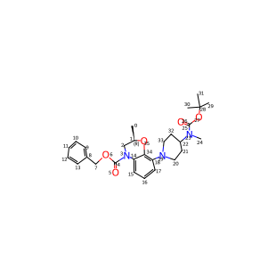 C[C@@H]1CN(C(=O)OCc2ccccc2)c2cccc(N3CCC(N(C)C(=O)OC(C)(C)C)CC3)c2O1